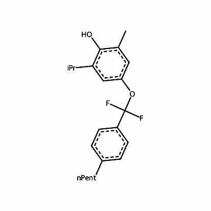 CCCCCc1ccc(C(F)(F)Oc2cc(C)c(O)c(C(C)C)c2)cc1